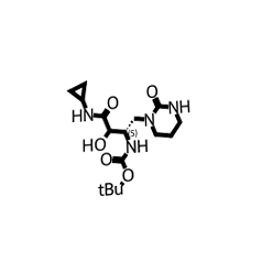 CC(C)(C)OC(=O)N[C@@H](CN1CCCNC1=O)C(O)C(=O)NC1CC1